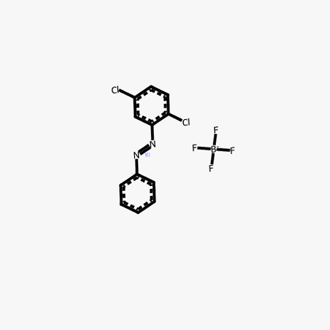 Clc1ccc(Cl)c(/N=N/c2ccccc2)c1.F[B-](F)(F)F